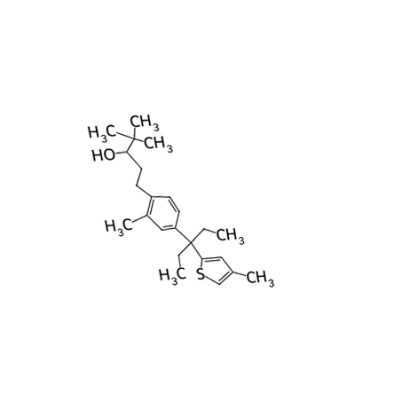 CCC(CC)(c1ccc(CCC(O)C(C)(C)C)c(C)c1)c1cc(C)cs1